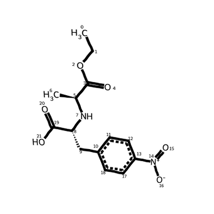 CCOC(=O)[C@H](C)N[C@H](Cc1ccc([N+](=O)[O-])cc1)C(=O)O